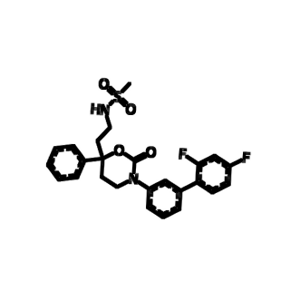 CS(=O)(=O)NCCC1(c2ccccc2)CCN(c2cccc(-c3ccc(F)cc3F)c2)C(=O)O1